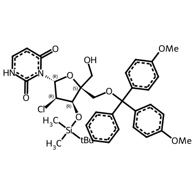 COc1ccc(C(OC[C@]2(CO)O[C@@H](n3c(=O)cc[nH]c3=O)[C@H](Cl)[C@@H]2O[Si](C)(C)C(C)(C)C)(c2ccccc2)c2ccc(OC)cc2)cc1